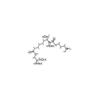 CCCCCCCCCCC(CCCCCC(=O)OCC(CCCCCC)CCCCCCCC)N(CCCCCCCCCC)C(=O)CCCCN(C)C